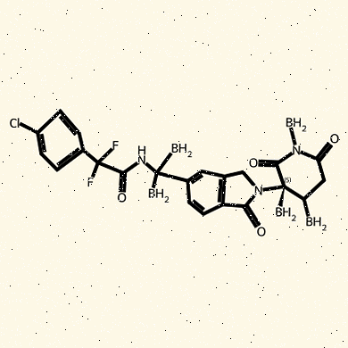 BC1CC(=O)N(B)C(=O)[C@@]1(B)N1Cc2cc(C(B)(B)NC(=O)C(F)(F)c3ccc(Cl)cc3)ccc2C1=O